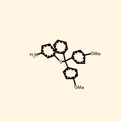 COc1ccc(C(Sc2cccc(N)c2)(c2ccccc2)c2ccc(OC)cc2)cc1